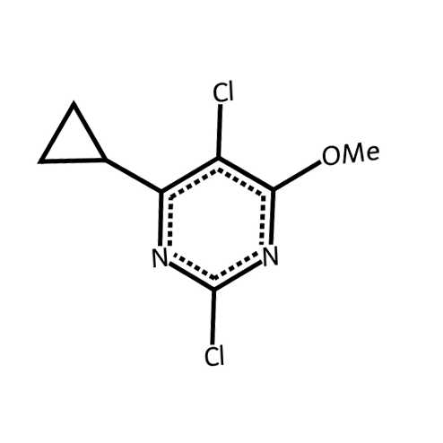 COc1nc(Cl)nc(C2CC2)c1Cl